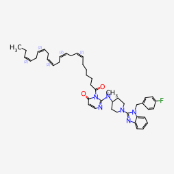 CC/C=C\C/C=C\C/C=C\C/C=C\C/C=C\CCCCCC(=O)n1c(N(C)C2CCN(c3nc4ccccc4n3Cc3ccc(F)cc3)CC2)nccc1=O